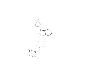 CNc1cc2c(cn1)c(-c1cnn(C)c1)nn2C1CCC(Oc2cccnc2C(C)C)CC1